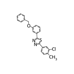 Cc1ccc(-c2nnc(-c3cccc(OCc4ccccc4)c3)s2)cc1Cl